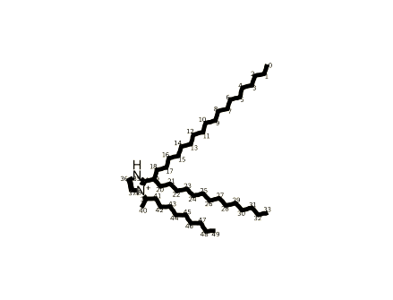 CCCCCCCCCCCCCCCCCCCC(CCCCCCCCCCCCCC)c1[nH]cc[n+]1C(C)CCCCCCCCC